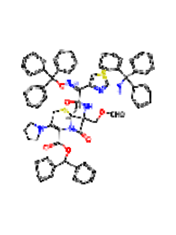 O=COCC1(NC(=O)/C(=N\OC(c2ccccc2)(c2ccccc2)c2ccccc2)c2csc(NC(c3ccccc3)(c3ccccc3)c3ccccc3)n2)C(=O)N2C(C(=O)OC(c3ccccc3)c3ccccc3)=C(N3CCCC3)CS[C@H]21